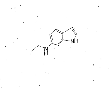 CCNc1ccc2cc[nH]c2c1